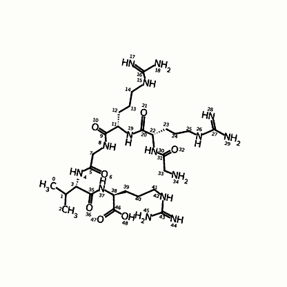 CC(C)[C@H](NC(=O)CNC(=O)[C@H](CCCNC(=N)N)NC(=O)[C@H](CCCNC(=N)N)NC(=O)CN)C(=O)N[C@@H](CCCNC(=N)N)C(=O)O